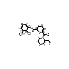 CCC1CCCCN1C(=O)c1cccc(CSc2cccc(Cl)c2Cl)n1